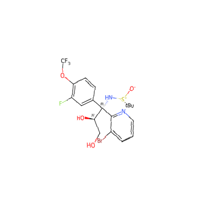 CC(C)(C)[S+]([O-])N[C@](c1ccc(OC(F)(F)F)c(F)c1)(c1ncccc1Br)[C@H](O)CO